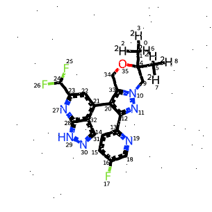 [2H]C([2H])([2H])C1(C([2H])([2H])[2H])Cn2nc(-c3ccc(F)cn3)c(-c3cc(C(F)F)nc4[nH]ncc34)c2CO1